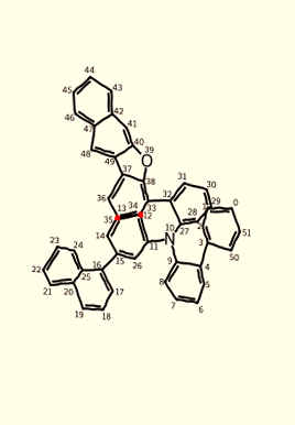 c1ccc(-c2ccccc2N(c2cccc(-c3cccc4ccccc34)c2)c2ccccc2-c2cccc3c2oc2cc4ccccc4cc23)cc1